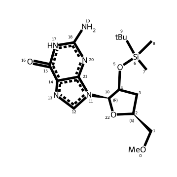 COC[C@@H]1CC(O[Si](C)(C)C(C)(C)C)[C@H](n2cnc3c(=O)[nH]c(N)nc32)O1